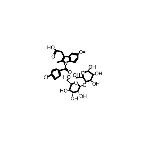 COc1ccc2c(c1)c(CC(=O)O)c(C)n2C(=O)c1ccc(Cl)cc1.OC[C@H]1O[C@@H](O[C@H]2[C@H](O)[C@@H](O)[C@H](O)O[C@@H]2CO)[C@H](O)[C@@H](O)[C@H]1O